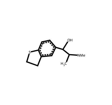 CNC(C)C(O)c1ccc2c(c1)CCS2